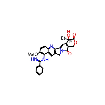 CC[C@@]1(O)C(=O)OCc2c1cc1n(c2=O)Cc2cc3c(NC(=N)c4ccccc4)c(OC)ccc3nc2-1